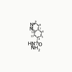 NNC(=O)c1ccc2ccnnc2c1